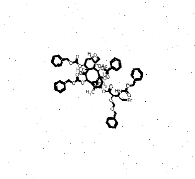 CC(=O)O[C@@]12CO[C@@H]1C[C@H](OC(=O)OCc1ccccc1)[C@@]1(C)C(=O)[C@H](OC(=O)OCc3ccccc3)C3=C(C)[C@@H](OC(=O)[C@H](OCOCc4ccccc4)[C@H](CC(C)C)NC(=O)OCc4ccccc4)CC(O)([C@@H](OC(=O)c4ccccc4)C12)C3(C)C